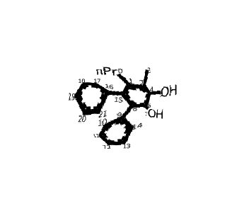 CCCc1c(C)c(O)c(O)c(-c2ccccc2)c1-c1ccccc1